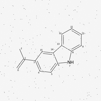 C=C(C)c1ccc2[nH]c3ccccc3c2c1